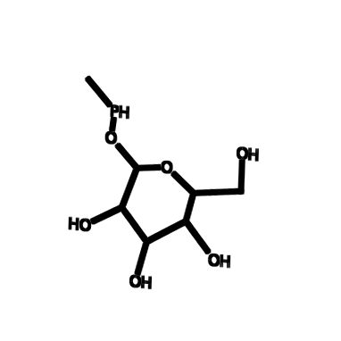 CPOC1OC(CO)C(O)C(O)C1O